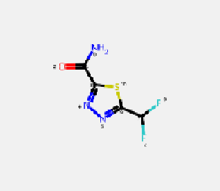 NC(=O)c1nnc(C(F)F)s1